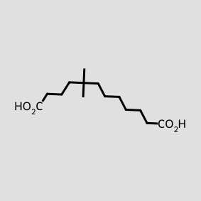 CC(C)(CCCCCCC(=O)O)CCCC(=O)O